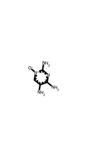 Nc1c[n+]([O-])c(N)nc1N